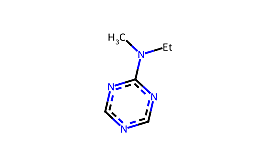 [CH2]CN(C)c1ncncn1